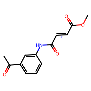 COC(=O)/C=C/C(=O)Nc1cccc(C(C)=O)c1